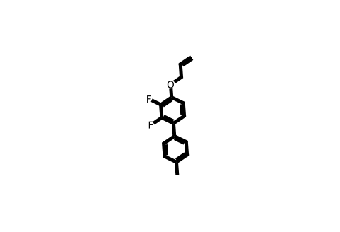 C=CCOc1ccc(-c2ccc(C)cc2)c(F)c1F